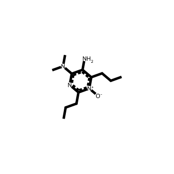 CCCc1nc(N(C)C)c(N)c(CCC)[n+]1[O-]